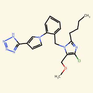 CCCCc1nc(Cl)c(COC)n1Cc1ccccc1-n1ccc(-c2nnn[nH]2)c1